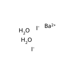 O.O.[Ba+2].[I-].[I-]